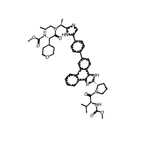 CCCN(C(=O)[C@@H](NC(=O)OC)C1CCOCC1)[C@@H](C)c1ncc(-c2ccc(-c3ccc4c(c3)c3ccccc3c3nc([C@@H]5CCCN5C(=O)[C@@H](NC(=O)OC)C(C)C)[nH]c43)cc2)[nH]1